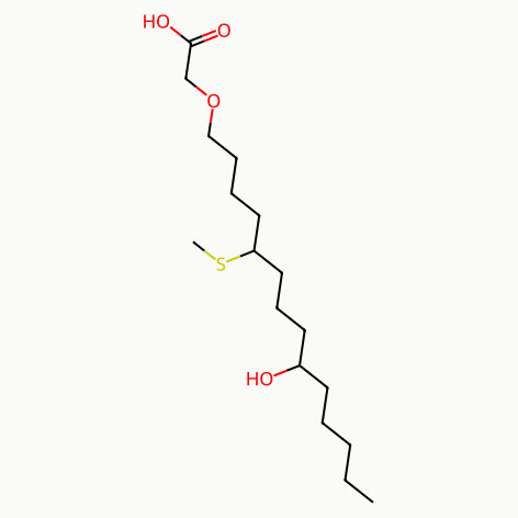 CCCCCC(O)CCCC(CCCCOCC(=O)O)SC